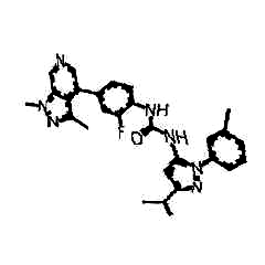 Cc1cccc(-n2nc(C(C)C)cc2NC(=O)Nc2ccc(-c3cncc4c3c(C)nn4C)cc2F)c1